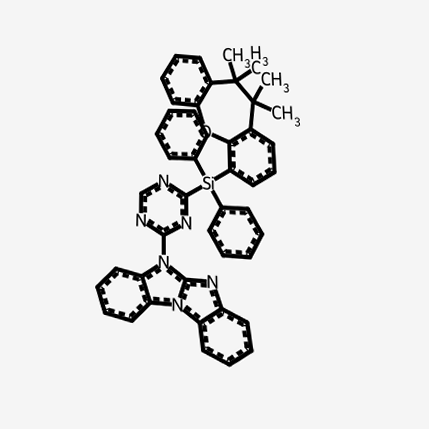 CC1(C)c2ccccc2Oc2c(cccc2[Si](c2ccccc2)(c2ccccc2)c2ncnc(-n3c4ccccc4n4c5ccccc5nc34)n2)C1(C)C